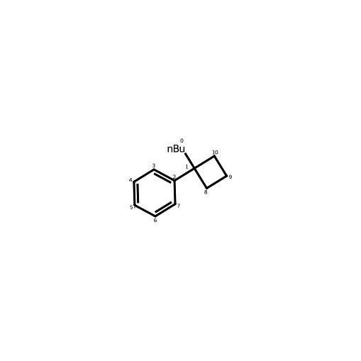 CCCCC1(c2cc[c]cc2)CCC1